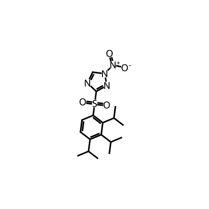 CC(C)c1ccc(S(=O)(=O)c2ncn([N+](=O)[O-])n2)c(C(C)C)c1C(C)C